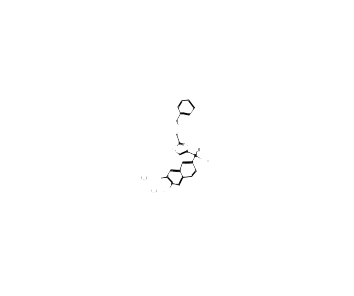 COc1cc2ccc(C(O)(c3c[nH]c(COCc4ccccc4)n3)C(C)C)cc2cc1OC